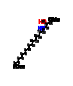 CCCCCCCCCCCCCCCCCCCCCCCCCCNCC(O)COC